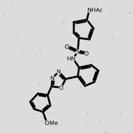 COc1cccc(-c2nnc(-c3ccccc3NS(=O)(=O)c3ccc(NC(C)=O)cc3)o2)c1